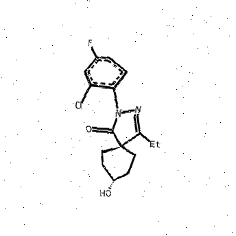 CCC1=NN(c2ccc(F)cc2Cl)C(=O)[C@]12CC[C@@H](O)CC2